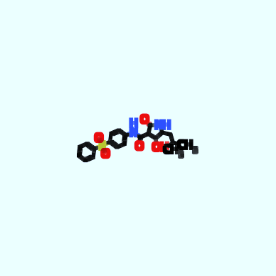 CC(C)CC1NC(=O)C(C(=O)Nc2ccc(S(=O)(=O)c3ccccc3)cc2)C1O